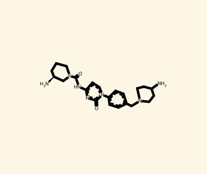 NC1CCN(Cc2ccc(-n3ccc(NC(=O)N4CCC[C@H](N)C4)nc3=O)cc2)CC1